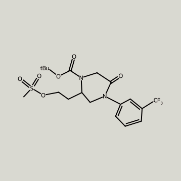 CC(C)(C)OC(=O)N1CC(=O)N(c2cccc(C(F)(F)F)c2)CC1CCOS(C)(=O)=O